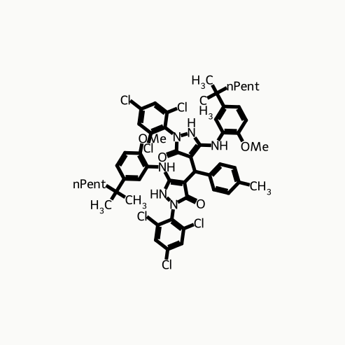 CCCCCC(C)(C)c1ccc(OC)c(Nc2[nH]n(-c3c(Cl)cc(Cl)cc3Cl)c(=O)c2C(c2ccc(C)cc2)c2c(Nc3cc(C(C)(C)CCCCC)ccc3OC)[nH]n(-c3c(Cl)cc(Cl)cc3Cl)c2=O)c1